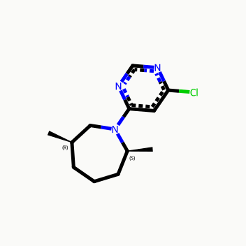 C[C@@H]1CCC[C@H](C)N(c2cc(Cl)ncn2)C1